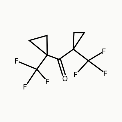 O=C(C1(C(F)(F)F)CC1)C1(C(F)(F)F)CC1